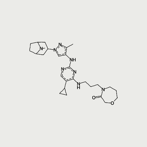 Cc1nn(C2CC3CCC(C2)N3C)cc1Nc1ncc(C2CC2)c(NCCCN2CCCOCC2=O)n1